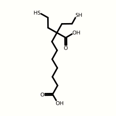 O=C(O)CCCCCCC(CCS)(CCS)C(=O)O